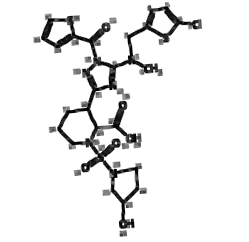 CN(Cc1ccc(Cl)s1)c1nc(C2CCCN(S(=O)(=O)N3CCC(O)C3)C2C(=O)O)nn1C(=O)c1cccs1